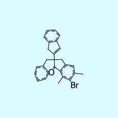 Cc1cc2c(c(C)c1Br)C(=O)C(Cc1ccccc1)(C1=Cc3ccccc3C1)C2